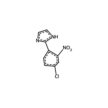 O=[N+]([O-])c1cc(Cl)ccc1-c1ncc[nH]1